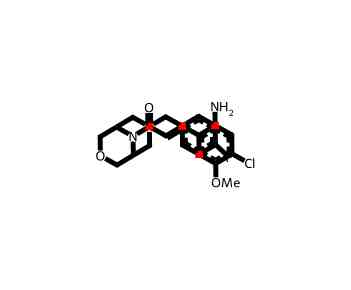 COc1cc(C=CC(=O)N2C3COCC2CN(Cc2ccc(F)cc2)C3)c(N)cc1Cl